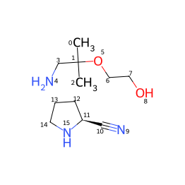 CC(C)(CN)OCCO.N#C[C@@H]1CCCN1